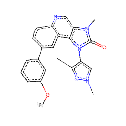 Cc1nn(C)cc1-n1c(=O)n(C)c2cnc3ccc(-c4cccc(OC(C)C)c4)cc3c21